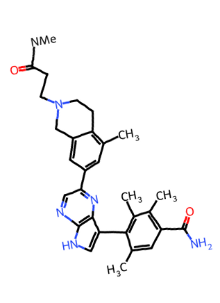 CNC(=O)CCN1CCc2c(C)cc(-c3cnc4[nH]cc(-c5c(C)cc(C(N)=O)c(C)c5C)c4n3)cc2C1